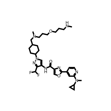 CNCCCOCCCN(C)CC1CCC(n2cc(NC(=O)c3coc(-c4ccnc(N(C)C5CC5)c4)n3)c(C(F)F)n2)CC1